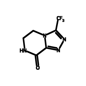 O=C1NCCn2c1nnc2C(F)(F)F